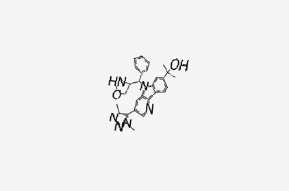 Cc1nnn(C)c1-c1cnc2c3ccc(C(C)(C)O)cc3n(C(c3ccccc3)C3COCN3)c2c1